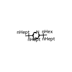 CCCCCCCC(C)(CCCCCC)c1cnc(C(C)(CCCCCCC)CCCCCCC)cn1